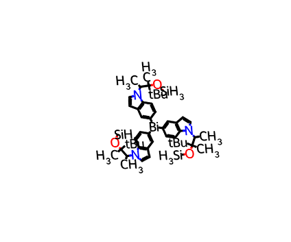 CC(n1ccc2c[c]([Bi]([c]3ccc4c(ccn4C(C)C(C)(O[SiH3])C(C)(C)C)c3)[c]3ccc4c(ccn4C(C)C(C)(O[SiH3])C(C)(C)C)c3)ccc21)C(C)(O[SiH3])C(C)(C)C